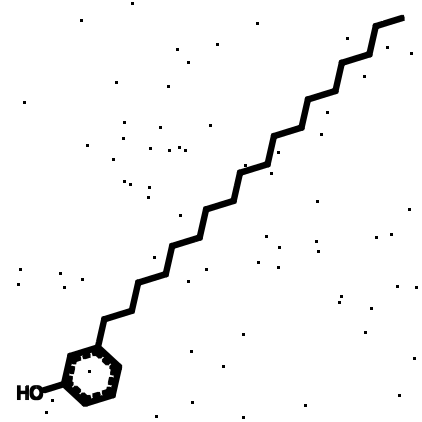 CCCCCCCCCCCCCCCCCCc1cccc(O)c1